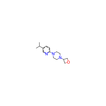 CC(C)c1ccc(N2CCN(C3COC3)CC2)nc1